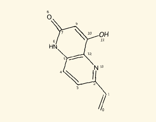 C=Cc1ccc2[nH]c(=O)cc(O)c2n1